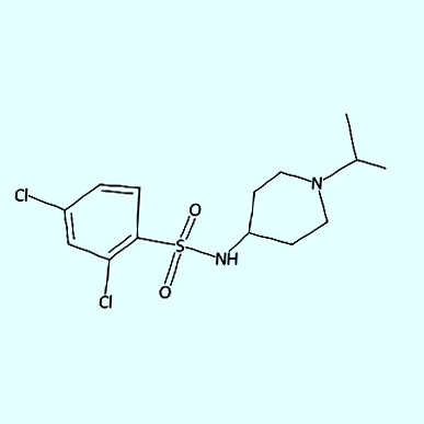 CC(C)N1CCC(NS(=O)(=O)c2ccc(Cl)cc2Cl)CC1